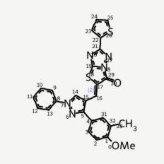 COc1ccc(-c2nn(-c3ccccc3)cc2/C=c2\sc3nc(-c4cccs4)nn3c2=O)cc1C